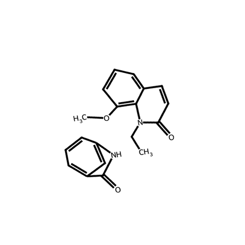 CCn1c(=O)ccc2cccc(OC)c21.O=C1Nc2cccc1c2